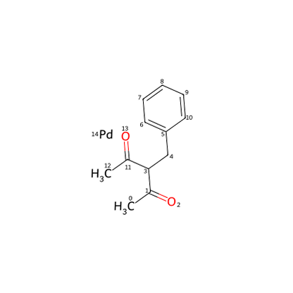 CC(=O)C(Cc1ccccc1)C(C)=O.[Pd]